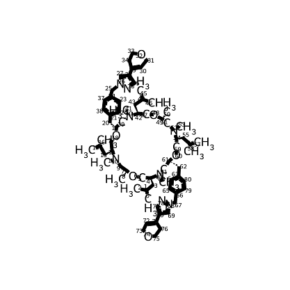 CC(C)C[C@H]1CO[C@H](C)CN(C)[C@@H](CC(C)C)CO[C@H](Cc2ccc(Cn3cc(C4=CCOCC4)cn3)cc2)CN(C)[C@@H](CC(C)C)CO[C@H](C)CN(C)[C@@H](CC(C)C)CO[C@H](Cc2ccc(Cn3cc(C4=CCOCC4)cn3)cc2)CN1C